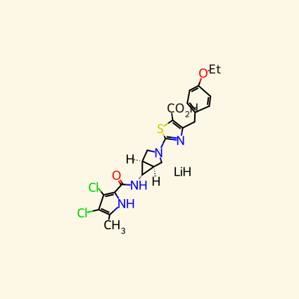 CCOc1ccc(Cc2nc(N3C[C@@H]4[C@H](C3)[C@H]4NC(=O)c3[nH]c(C)c(Cl)c3Cl)sc2C(=O)O)cc1.[LiH]